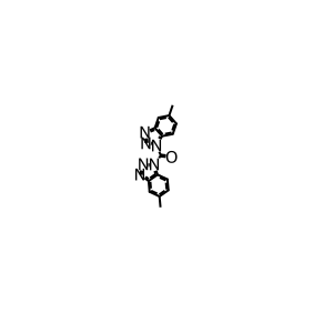 Cc1ccc2c(c1)nnn2C(=O)n1nnc2cc(C)ccc21